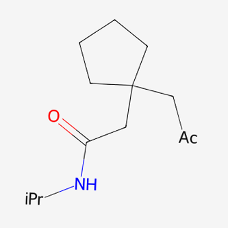 CC(=O)CC1(CC(=O)NC(C)C)CCCC1